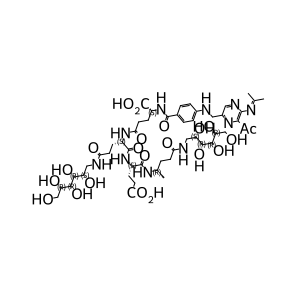 CC(=O)c1nc(CNc2ccc(C(=O)N[C@@H](CCC(=O)N[C@@H](CCC(=O)NC[C@H](O)[C@@H](O)[C@H](O)[C@H](O)CO)C(=O)N[C@@H](CCC(=O)O)C(=O)N[C@H](C)CCC(=O)NC[C@H](O)[C@@H](O)[C@H](O)[C@H](O)CO)C(=O)O)cc2)cnc1N=C(C)C